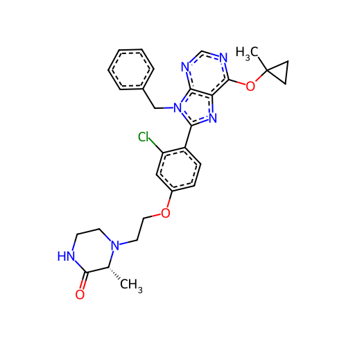 C[C@@H]1C(=O)NCCN1CCOc1ccc(-c2nc3c(OC4(C)CC4)ncnc3n2Cc2ccccc2)c(Cl)c1